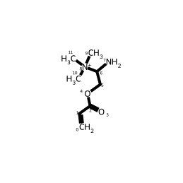 C=CC(=O)OCC(N)[N+](C)(C)C